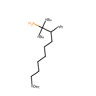 CCCCCCCCCCCCCCCCC(CCC)C(P)(CCCC)CCCC